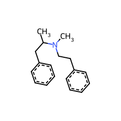 CC(Cc1ccccc1)N(C)CCc1ccccc1